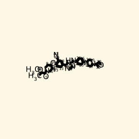 COC(C)C(=O)N1CC[C@H](Oc2ccc(-c3ncnc(Nc4ccc(N5CCN(C6COC6)CC5)cc4)n3)cc2C#N)[C@H](F)C1